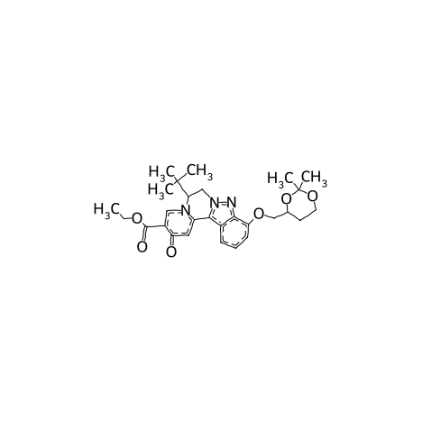 CCOC(=O)c1cn2c(cc1=O)-c1c3cccc(OCC4CCOC(C)(C)O4)c3nn1CC2C(C)(C)C